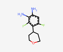 Nc1cc(F)c(C2CCOCC2)c(F)c1N